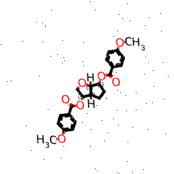 COc1ccc(C(=O)O[C@H]2CC[C@H]3[C@@H]2OC[C@H]3OC(=O)c2ccc(OC)cc2)cc1